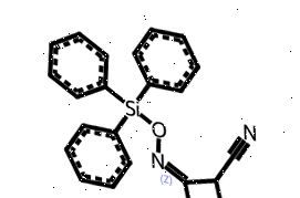 N#CC1CC/C1=N/O[Si](c1ccccc1)(c1ccccc1)c1ccccc1